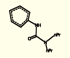 CCCN(CCC)C(=O)Nc1ccccc1